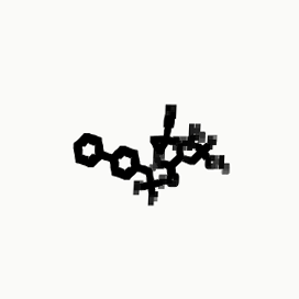 CC(C)(F)C[C@H](NC1(C#N)CC1)C(=O)N[C@@H](c1ccc(-c2ccccc2)cc1)C(F)(F)F